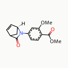 COC(=O)c1ccc(N2C(=O)C3C=C[C@@H]2C3)cc1OC